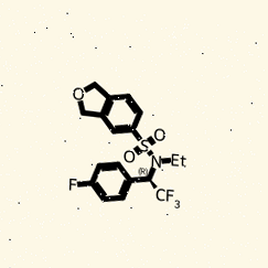 CCN([C@H](c1ccc(F)cc1)C(F)(F)F)S(=O)(=O)c1ccc2c(c1)COC2